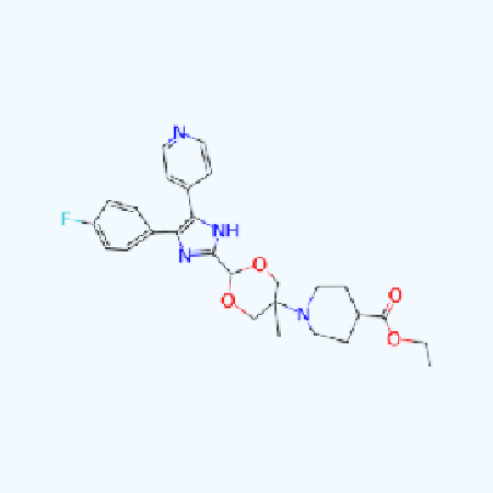 CCOC(=O)C1CCN(C2(C)COC(c3nc(-c4ccc(F)cc4)c(-c4ccncc4)[nH]3)OC2)CC1